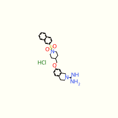 Cl.N=C(N)N1CCc2ccc(OCC3CCN(S(=O)(=O)c4ccc5ccccc5c4)CC3)cc2C1